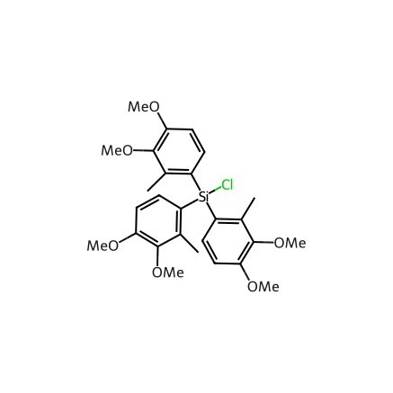 COc1ccc([Si](Cl)(c2ccc(OC)c(OC)c2C)c2ccc(OC)c(OC)c2C)c(C)c1OC